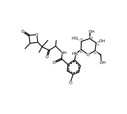 CC(NC(=O)c1cc(Cl)ccc1N[C@@H]1O[C@H](CO)[C@@H](O)[C@H](O)[C@H]1O)C(=O)C(C)(C)C1OC(=O)C1C